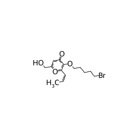 C/C=C\c1oc(CO)cc(=O)c1OCCCCCBr